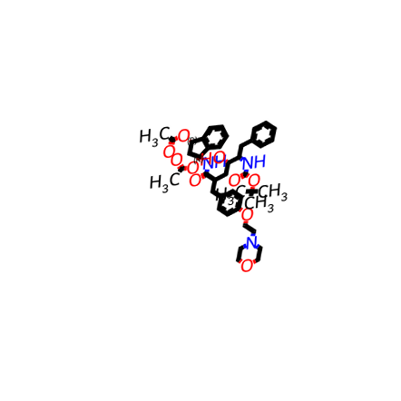 CC(=O)O[C@@H]1C[C@@](NC(=O)C(Cc2ccc(OCCN3CCOCC3)cc2)CC(O)C(Cc2ccccc2)NC(=O)OC(C)(C)C)(OC(C)=O)c2ccccc21